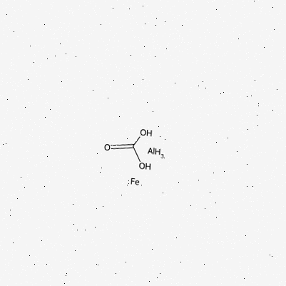 O=C(O)O.[AlH3].[Fe]